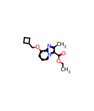 CCOC(=O)c1c(C)nc2c(OCC3CCC3)cccn12